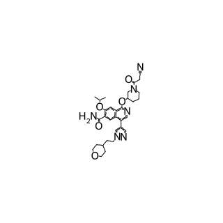 CC(C)Oc1cc2c(O[C@@H]3CCCN(C(=O)CC#N)C3)ncc(-c3cnn(CCC4CCOCC4)c3)c2cc1C(N)=O